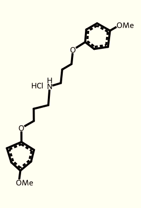 COc1ccc(OCCCNCCCOc2ccc(OC)cc2)cc1.Cl